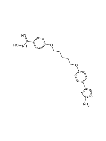 N=C(NO)c1ccc(OCCCCCOc2ccc(-c3csc(N)n3)cc2)cc1